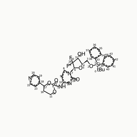 CC(C)(C)[Si](OC[C@H]1O[C@@H](n2ccc(NP3(=O)OCCC(c4ccncc4)O3)nc2=O)C(F)(F)[C@@H]1O)(c1ccccc1)c1ccccc1